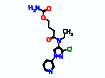 CCN(C(=O)CCCOC(N)=O)c1cn(-c2cccnc2)nc1Cl